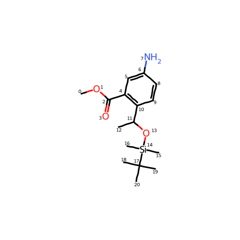 COC(=O)c1cc(N)ccc1C(C)O[Si](C)(C)C(C)(C)C